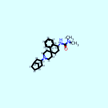 CN(C)C(=O)N[C@H]1CCC2(CCN(C3CC4CCC(C4)C3)CC2)c2ccccc21